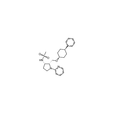 CS(=O)(=O)N[C@H]1CCN(c2ccccn2)[C@H]1CO[C@H]1CC[C@@H](c2ccccc2)CC1